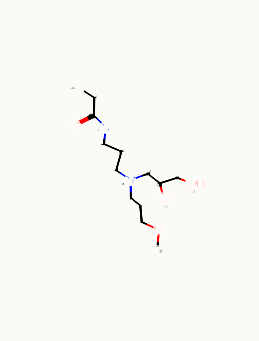 CCCCCCCCCCCC(=O)NCCCN(CCCOCCCC)CC(O)CO